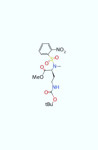 COC(=O)[C@H](CCNC(=O)OC(C)(C)C)N(C)S(=O)(=O)c1ccccc1[N+](=O)[O-]